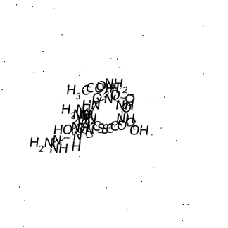 CC(=O)O.N=C(N)NCCC[C@@H](NC(=O)[C@@H]1CCCN1C(=O)[C@@H]1CSSCCC(=O)N[C@@H](Cc2ccc(O)cc2)C(=O)N[C@@H](Cc2ccccc2)C(=O)N[C@@H](CCC(N)=O)C(=O)N[C@@H](CC(N)=O)C(=O)N1)C(=O)NCC(N)=O